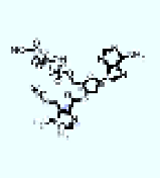 C=N/C(CN=[N+]=[N-])=C(\N=C/C)C(=O)OC1C[C@H](n2cnc3c(N)ncnc32)O[C@@H]1COP(=O)(O)OP(=O)(O)OP(=O)(O)O